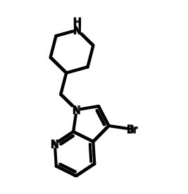 Brc1cn(CC2CCNCC2)c2ncccc12